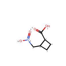 O=C(O)C1CCC1C[N+](=O)[O-]